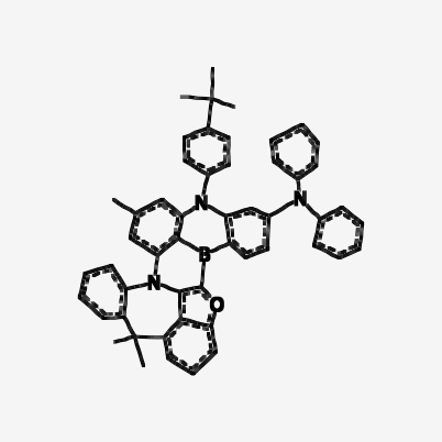 Cc1cc2c3c(c1)N1c4ccccc4C(C)(C)c4cccc5oc(c1c45)B3c1ccc(N(c3ccccc3)c3ccccc3)cc1N2c1ccc(C(C)(C)C)cc1